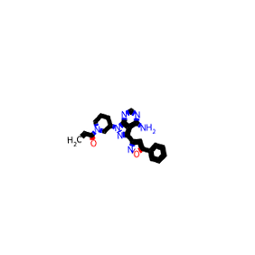 C=CC(=O)N1CCCC(n2nc(-c3cc(-c4ccccc4)on3)c3c(N)ncnc32)C1